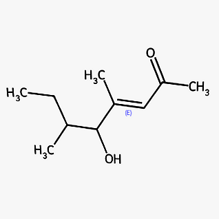 CCC(C)C(O)/C(C)=C/C(C)=O